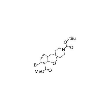 COC(=O)c1c(Br)ccc2c1OCC1(CCN(C(=O)OC(C)(C)C)CC1)C2